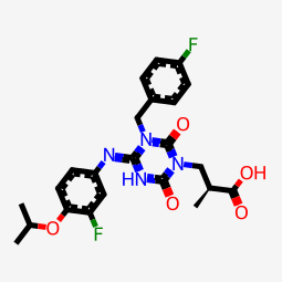 CC(C)Oc1ccc(/N=c2\[nH]c(=O)n(C[C@H](C)C(=O)O)c(=O)n2Cc2ccc(F)cc2)cc1F